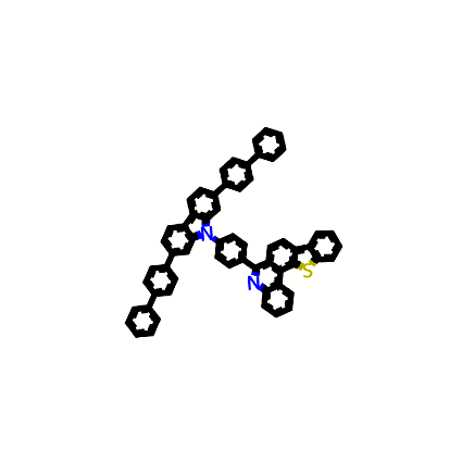 c1ccc(-c2ccc(-c3ccc4c5ccc(-c6ccc(-c7ccccc7)cc6)cc5n(-c5ccc(-c6nc7ccccc7c7c6ccc6c8ccccc8sc67)cc5)c4c3)cc2)cc1